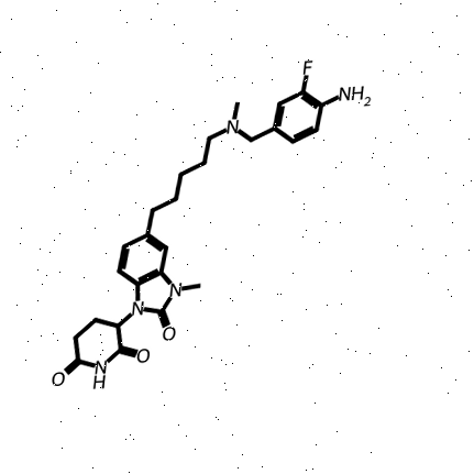 CN(CCCCCc1ccc2c(c1)n(C)c(=O)n2C1CCC(=O)NC1=O)Cc1ccc(N)c(F)c1